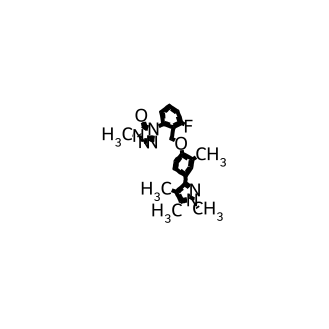 Cc1cc(-c2nn(C)c(C)c2C)ccc1OCc1c(F)cccc1-n1nnn(C)c1=O